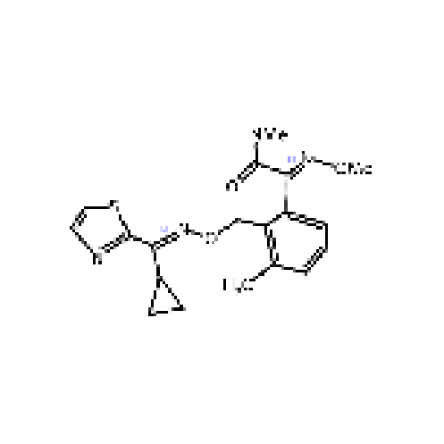 CNC(=O)/C(=N/OC)c1cccc(C)c1CO/N=C(/c1nccs1)C1CC1